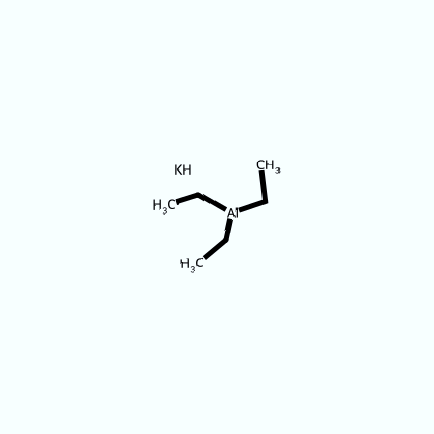 C[CH2][Al]([CH2]C)[CH2]C.[KH]